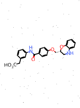 O=C(O)Cc1cccc(NC(=O)c2ccc(OC[C@H]3CNc4ccccc4O3)cc2)c1